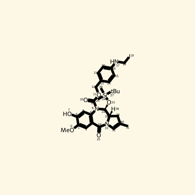 COc1cc2c(cc1O)N(C(=O)OCc1ccc(NCI)cc1)[C@@H](O[Si](C)(C)C(C)(C)C)[C@@H]1CC(C)=CN1C2=O